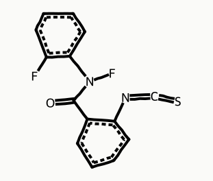 O=C(c1ccccc1N=C=S)N(F)c1ccccc1F